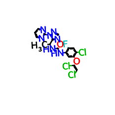 CC(NC(=O)Nc1cc(O/C(Cl)=C/Cl)c(Cl)cc1F)c1ncnn1-c1ncccn1